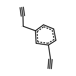 C#C[CH]c1cccc(C#C)c1